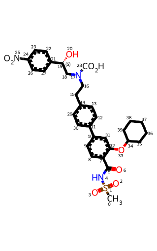 CS(=O)(=O)NC(=O)c1ccc(-c2ccc(CCN(C[C@@H](O)c3ccc([N+](=O)[O-])cc3)C(=O)O)cc2)cc1OC1CCCCC1